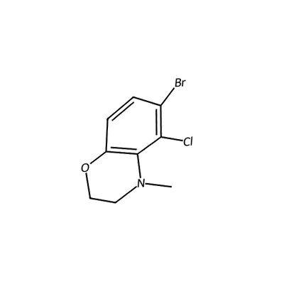 CN1CCOc2ccc(Br)c(Cl)c21